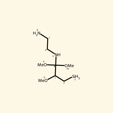 COC(C[SiH3])C(NCCN)(OC)OC